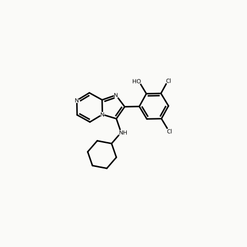 Oc1c(Cl)cc(Cl)cc1-c1nc2cnccn2c1NC1CCCCC1